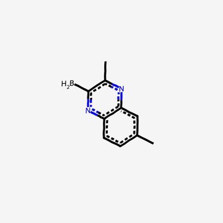 Bc1nc2ccc(C)cc2nc1C